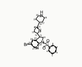 O=S(=O)(c1ccccc1)N1CC(C2CSC(C3CCNCC3)=N2)c2cc(Br)cnc21